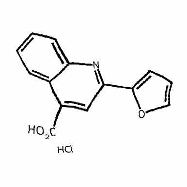 Cl.O=C(O)c1cc(-c2ccco2)nc2ccccc12